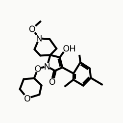 CON1CCC2(CC1)C(O)=C(c1c(C)cc(C)cc1C)C(=O)N2OC1CCOCC1